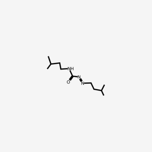 CC(C)CCN=NC(=O)NCCC(C)C